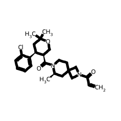 C=CC(=O)N1CC2(CCN(C(=O)[C@@H]3COC(C)(C)C[C@@H]3c3ccccc3Cl)[C@H](C)C2)C1